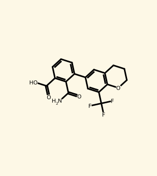 NC(=O)c1c(C(=O)O)cccc1-c1cc2c(c(C(F)(F)F)c1)OCCC2